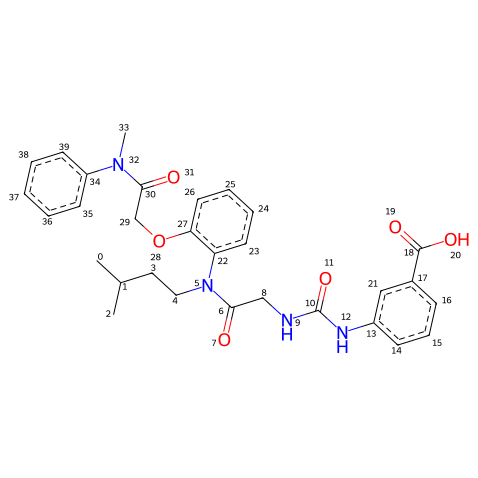 CC(C)CCN(C(=O)CNC(=O)Nc1cccc(C(=O)O)c1)c1ccccc1OCC(=O)N(C)c1ccccc1